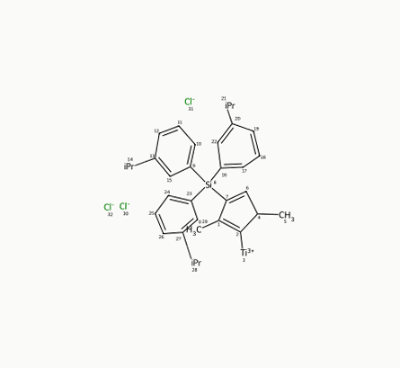 CC1=[C]([Ti+3])C(C)C=C1[Si](c1cccc(C(C)C)c1)(c1cccc(C(C)C)c1)c1cccc(C(C)C)c1.[Cl-].[Cl-].[Cl-]